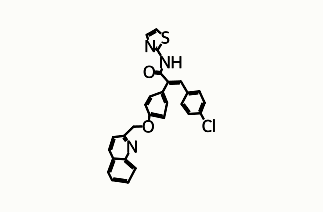 O=C(Nc1nccs1)/C(=C/c1ccc(Cl)cc1)c1ccc(OCc2ccc3ccccc3n2)cc1